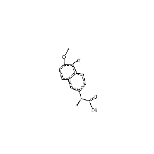 COc1ccc2cc([C@H](C)C(=O)O)ccc2c1Cl